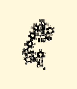 CC(=O)N[C@@H](C(=O)N1CCC[C@H]1c1ncc(-c2ccc(-c3ccc(-c4cnc([C@@H]5CCCN5C(=O)[C@H]5CCCC[C@H]5N(C)C(=O)O)[nH]4)cc3)cc2)[nH]1)c1ccccc1